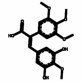 COc1cc(/C(=C\c2cc(O)c(OC)c(O)c2)C(=O)O)cc(OC)c1OC